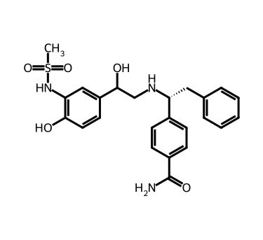 CS(=O)(=O)Nc1cc(C(O)CN[C@H](Cc2ccccc2)c2ccc(C(N)=O)cc2)ccc1O